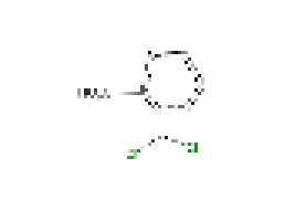 ClCCl.O=C(O)c1ccccc1